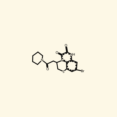 O=C(CC1CSc2cc(Br)cc3[nH]c(=O)c(=O)n1c23)N1CCCCC1